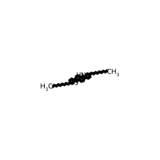 CCCCCCCCCCc1ccc2c(c1)[nH]c1c2ccc2c1ccc1c3ccc(CCCCCCCCCC)cc3sc12